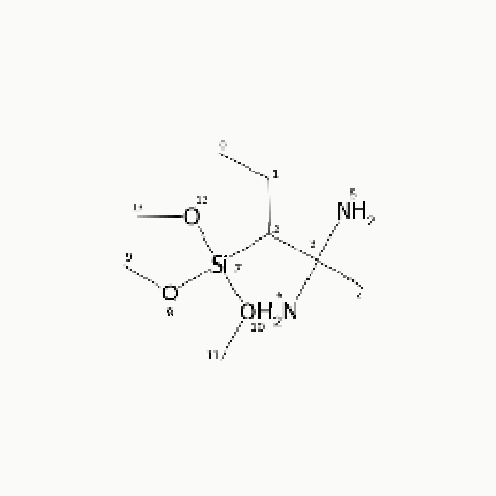 CCC(C(C)(N)N)[Si](OC)(OC)OC